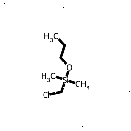 CCCO[Si](C)(C)CCl